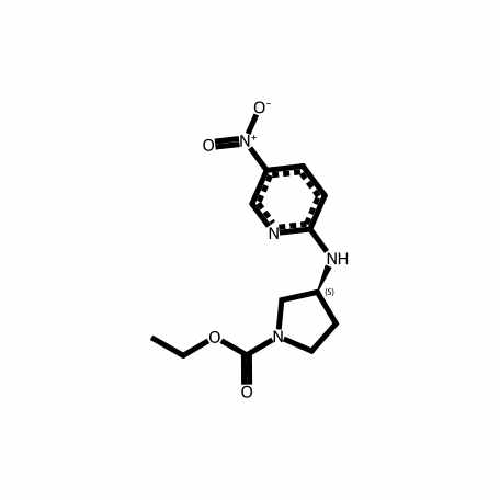 CCOC(=O)N1CC[C@H](Nc2ccc([N+](=O)[O-])cn2)C1